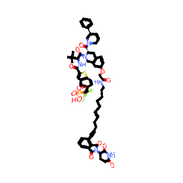 CC(C)(C)C(NC(=O)c1cc2cc(C(F)(F)P(=O)(O)O)ccc2s1)C(=O)N1Cc2cc(OCC(=O)NCCCCCCCCCC#Cc3cccc4c3C(=O)N(C3CCC(=O)NC3=O)C4=O)ccc2C[C@H]1C(=O)N1CCC[C@H](c2ccccc2)C1